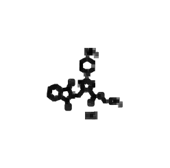 CCOC(=O)c1sc(N2CCC(N)CC2)nc1CN1C(=O)c2ccccc2C1=O.Cl